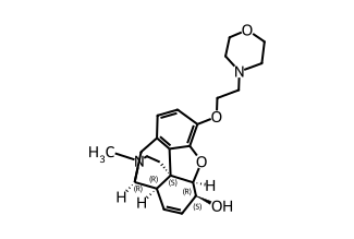 CN1CC[C@]23c4c5ccc(OCCN6CCOCC6)c4O[C@H]2[C@@H](O)C=C[C@H]3[C@H]1C5